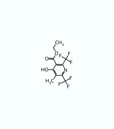 CCOC(=O)c1c(C(F)(F)F)nc(C(F)(F)F)c(C)c1O